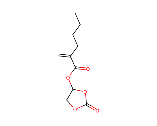 C=C(CCCC)C(=O)OC1COC(=O)O1